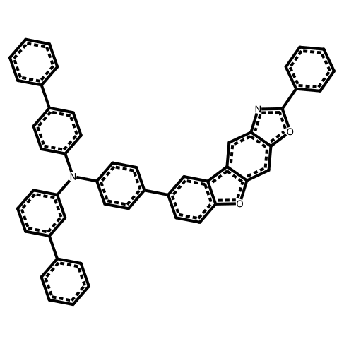 c1ccc(-c2ccc(N(c3ccc(-c4ccc5oc6cc7oc(-c8ccccc8)nc7cc6c5c4)cc3)c3cccc(-c4ccccc4)c3)cc2)cc1